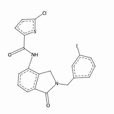 O=C(Nc1cccc2c1CN(Cc1cccc(I)c1)C2=O)c1ccc(Cl)s1